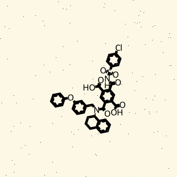 O=C(O)c1cc(C(=O)N(Cc2cccc(Oc3ccccc3)c2)[C@H]2CCCc3ccccc32)c(C(=O)O)cc1C(=O)NS(=O)(=O)c1ccc(Cl)cc1